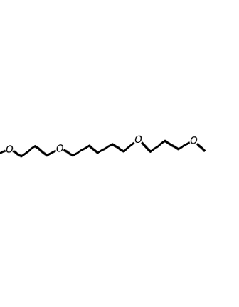 COCCCOCCCCCOCCCOC